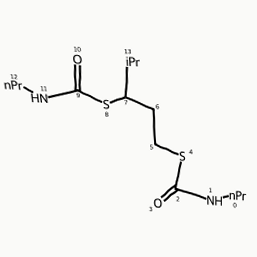 CCCNC(=O)SCCC(SC(=O)NCCC)C(C)C